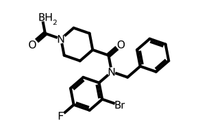 BC(=O)N1CCC(C(=O)N(Cc2ccccc2)c2ccc(F)cc2Br)CC1